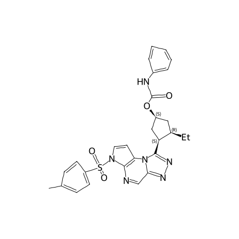 CC[C@@H]1C[C@H](OC(=O)Nc2ccccc2)C[C@@H]1c1nnc2cnc3c(ccn3S(=O)(=O)c3ccc(C)cc3)n12